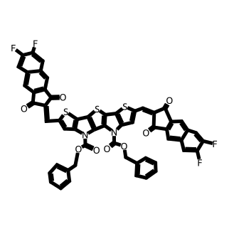 O=C1C(=Cc2cc3c(s2)c2sc4c5sc(C=C6C(=O)c7cc8cc(F)c(F)cc8cc7C6=O)cc5n(C(=O)OCc5ccccc5)c4c2n3C(=O)OCc2ccccc2)C(=O)c2cc3cc(F)c(F)cc3cc21